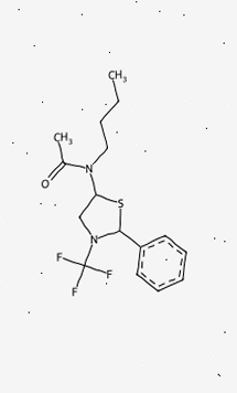 CCCCN(C(C)=O)C1CN(C(F)(F)F)C(c2ccccc2)S1